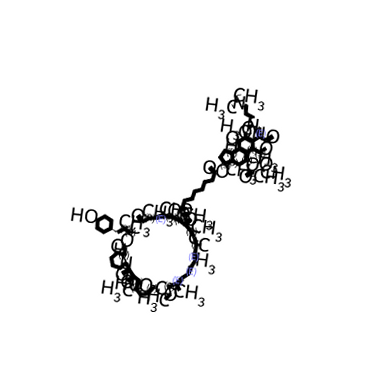 COC[C@H]1OC(=O)/C(=C/N(C)CCCN(C)C)C2=C(O)C(=O)C3=C([C@H](OC(C)=O)C[C@]4(C)[C@@H](OC(=O)CCCCCCC(=O)O[C@@H]5/C(C)=C/[C@@H](C)C(=O)C[C@@H]([C@H](C)C[C@H]6CC[C@H](O)CC6)OC(=O)[C@@H]6CCCCN6C(=O)C(=O)[C@]6(O)O[C@@H](CC[C@H]6C)C[C@H](OC)/C(C)=C/C=C/C=C/[C@@H](C)C[C@@H](C)C(=O)[C@@H]5OC)CC[C@@H]34)[C@]21C